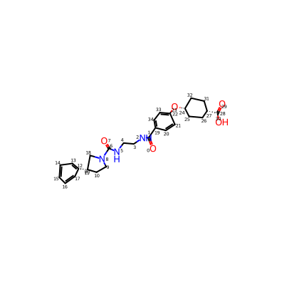 O=C(NCCNC(=O)N1CC[C@H](c2ccccc2)C1)c1ccc(O[C@H]2CC[C@@H](C(=O)O)CC2)cc1